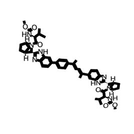 COC(=O)N[C@H](C(=O)N1[C@@H]2CC[C@@H](C2)[C@H]1c1nc2ccc(/C(C)=C/C=C(\C)c3ccc(-c4ccc5nc([C@@H]6[C@H]7CC[C@H](C7)N6C(=O)[C@@H](NC(=O)OC)C(C)C)[nH]c5c4)cc3)cc2[nH]1)C(C)C